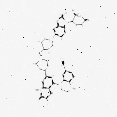 Cc1cc2c(N3CCN(C)c4ccc(C#N)cc43)cc(C3CCN(CC4CCN(c5ccc6c(c5)oc(=O)n6C5CCC(=O)NC5=O)CC4)CC3)cc2n(C)c1=O